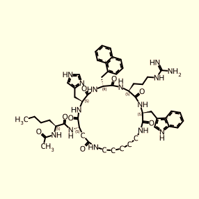 CCCC[C@H](NC(C)=O)C(=O)N[C@H]1CC(=O)NCCCCCNC(=O)[C@H](Cc2c[nH]c3ccccc23)NC(=O)[C@H](CCCNC(=N)N)NC(=O)[C@@H](Cc2cccc3ccccc23)NC(=O)[C@H](Cc2c[nH]cn2)NC1=O